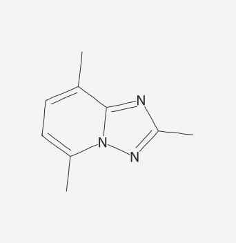 Cc1nc2c(C)ccc(C)n2n1